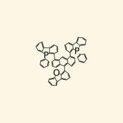 c1ccc(-p2c3ccccc3c3cccc(-c4cccc5c(-c6cccc7c6oc6ccccc67)c6cccc(-c7cccc8c9ccccc9p(-c9ccccc9)c78)c6cc45)c32)cc1